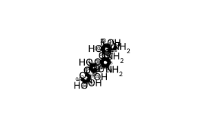 C[C@@H]1O[C@H](O[C@H]2[C@@H](O)[C@H](O[C@@H]3[C@@H](O)[C@H](N)C[C@H](N)[C@H]3O[C@H]3O[C@H](CN)[C@@H](O)[C@H](F)[C@H]3O)O[C@@H]2CO)C[C@@H](O)[C@@H]1O